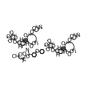 CC1(C)[C@H](C(=O)OC(C#N)c2cccc(Oc3ccccc3)c2)[C@@H]1C=C(Cl)Cl.CC[C@H]1CCC[C@H](O[C@H]2CC[C@H](N(C)C)[C@@H](C)O2)[C@@H](C)C(=O)C2=C[C@@H]3[C@@H](C=C(C)[C@@H]4C[C@@H](O[C@@H]5O[C@@H](C)[C@H](OC)[C@@H](OC)[C@H]5OC)C[C@@H]34)[C@@H]2CC(=O)O1.CC[C@H]1CCC[C@H](O[C@H]2CC[C@H](N(C)C)[C@@H](C)O2)[C@@H](C)C(=O)C2=C[C@@H]3[C@@H](C=C[C@@H]4C[C@@H](O[C@@H]5O[C@@H](C)[C@H](OC)[C@@H](OC)[C@H]5OC)C[C@@H]34)[C@@H]2CC(=O)O1